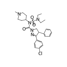 CCN(CC)S(=O)(=O)N(C(=O)N1CC(c2ccccc2)C(c2ccc(Cl)cc2)=N1)C1CCN(C)CC1